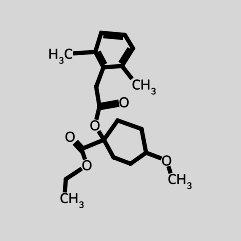 CCOC(=O)C1(OC(=O)Cc2c(C)cccc2C)CCC(OC)CC1